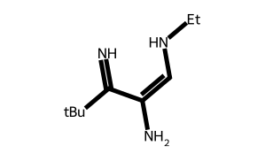 CCN/C=C(/N)C(=N)C(C)(C)C